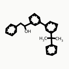 CC(C)(c1ccccc1)c1cc[c]c(-c2cccc(C(O)Cc3ccccc3)c2)c1